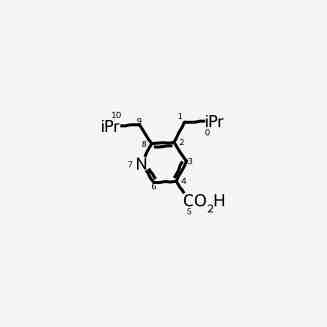 CC(C)Cc1cc(C(=O)O)cnc1CC(C)C